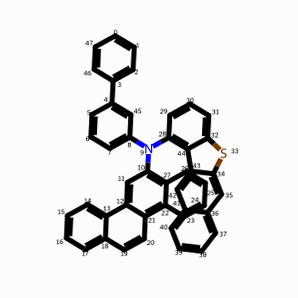 c1ccc(-c2cccc(N(c3cc4c5ccccc5ccc4c4ccccc34)c3cccc4sc5cc6ccccc6cc5c34)c2)cc1